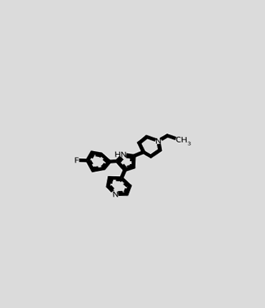 CCN1CCC(c2cc(-c3ccncc3)c(-c3ccc(F)cc3)[nH]2)CC1